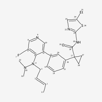 C/C=C/CN(c1c(F)cncc1-c1cccc(C2(C(=O)Nc3ncc(CC)s3)CC2)c1)N(C)C